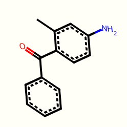 Cc1cc(N)ccc1C(=O)c1ccccc1